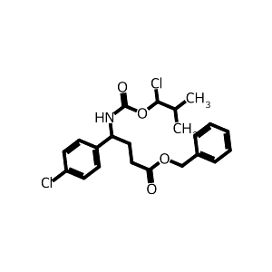 CC(C)C(Cl)OC(=O)NC(CCC(=O)OCc1ccccc1)c1ccc(Cl)cc1